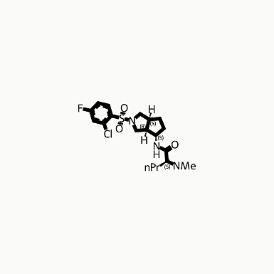 CCC[C@H](NC)C(=O)N[C@H]1CC[C@@H]2CN(S(=O)(=O)c3ccc(F)cc3Cl)C[C@@H]21